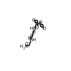 COc1ccc2c(c1)c(CC(=O)NCCOCCOCC(=O)NCCCC[C@H](C)C(N)=O)c(C)n2C(=O)c1ccc(Cl)cc1